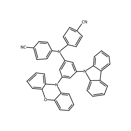 N#Cc1ccc(N(c2ccc(C#N)cc2)c2cc(N3c4ccccc4Oc4ccccc43)cc(-n3c4ccccc4c4ccccc43)c2)cc1